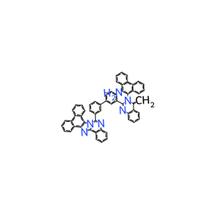 C=C1c2ccccc2N=C(c2cccc(-c3cccc(-c4nc5ccccc5c5nc6c7ccccc7c7ccccc7c6n45)c3)c2)N1c1c(N)c2ccccc2c2ccccc12